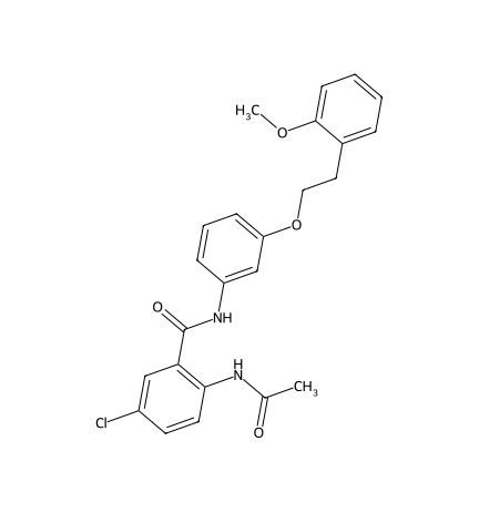 COc1ccccc1CCOc1cccc(NC(=O)c2cc(Cl)ccc2NC(C)=O)c1